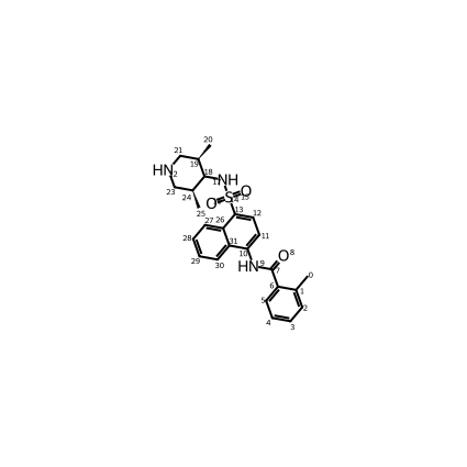 Cc1ccccc1C(=O)Nc1ccc(S(=O)(=O)NC2[C@H](C)CNC[C@@H]2C)c2ccccc12